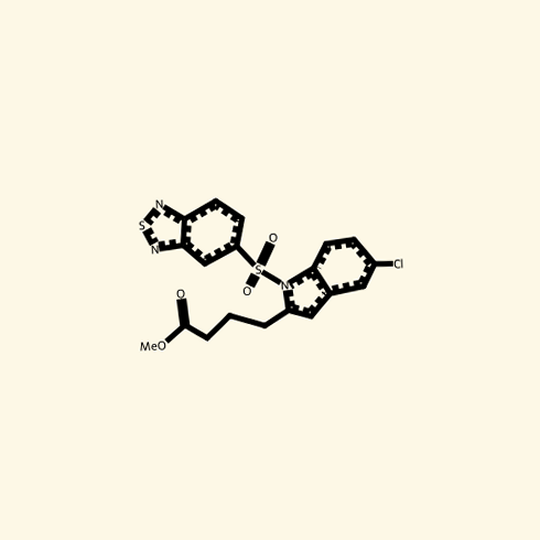 COC(=O)CCCc1cc2cc(Cl)ccc2n1S(=O)(=O)c1ccc2nsnc2c1